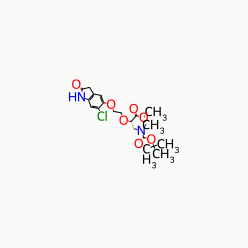 COC(=O)[C@H](CN(C)C(=O)OC(C)(C)C)OCCOc1cc2c(cc1Cl)NC(=O)C2